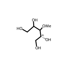 COC(C(O)CO)[C@H](O)CO